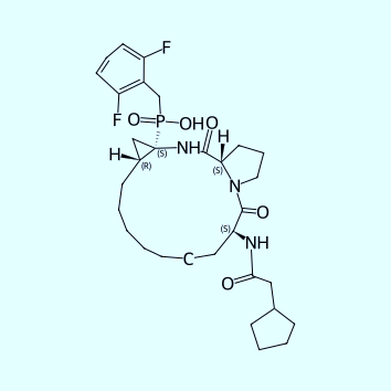 O=C(CC1CCCC1)N[C@H]1CCCCCCC[C@@H]2C[C@@]2(P(=O)(O)Cc2c(F)cccc2F)NC(=O)[C@@H]2CCCN2C1=O